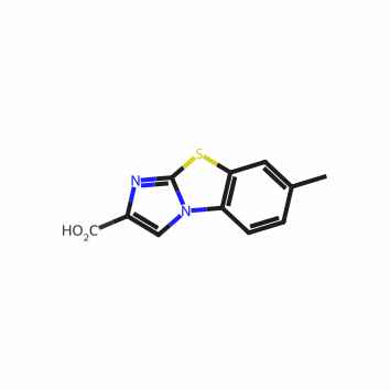 Cc1ccc2c(c1)sc1nc(C(=O)O)cn12